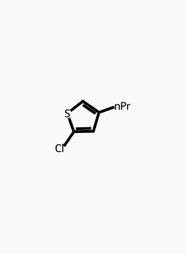 [CH2]CCc1csc(Cl)c1